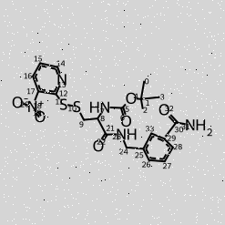 CC(C)(C)OC(=O)NC(CSSc1ncccc1[N+](=O)[O-])C(=O)NCc1cccc(C(N)=O)c1